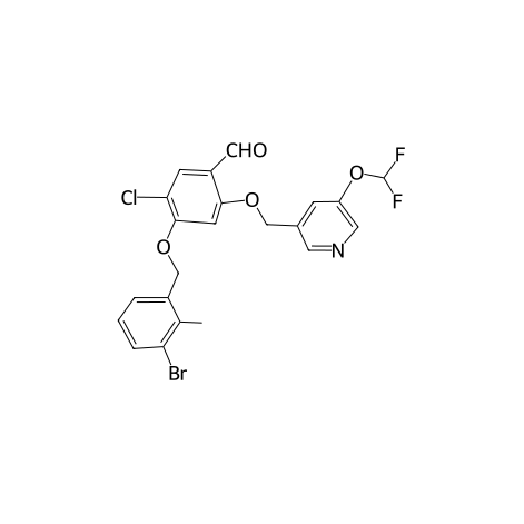 Cc1c(Br)cccc1COc1cc(OCc2cncc(OC(F)F)c2)c(C=O)cc1Cl